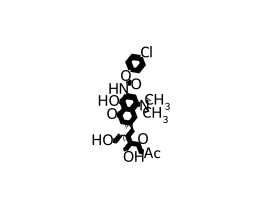 CC(=O)CC(=O)C(CO)[C@H](CCO)C[C@H]1CC(=O)c2c(O)c(NC(=O)Oc3ccc(Cl)cc3)cc(N(C)C)c2C1